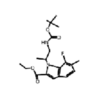 CCOC(=O)c1cc2ccc(C)c(F)c2n1C(C)CNC(=O)OC(C)(C)C